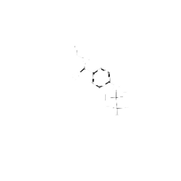 CCOC(=O)c1ccc(OC(F)(F)C(F)(F)F)cc1